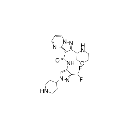 O=C(Nc1cn(C2CCNCC2)nc1C(F)F)c1c(C2COCCN2)nn2cccnc12